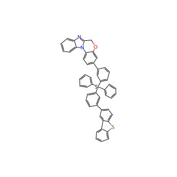 c1ccc([Si](c2ccccc2)(c2cccc(-c3ccc4c(c3)OCc3nc5ccccc5n3-4)c2)c2cccc(-c3ccc4sc5ccccc5c4c3)c2)cc1